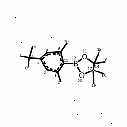 Cc1cc(C(C)(C)C)cc(C)c1B1OC(C)(C)C(C)(C)O1